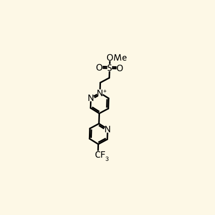 COS(=O)(=O)CC[n+]1ccc(-c2ccc(C(F)(F)F)cn2)cn1